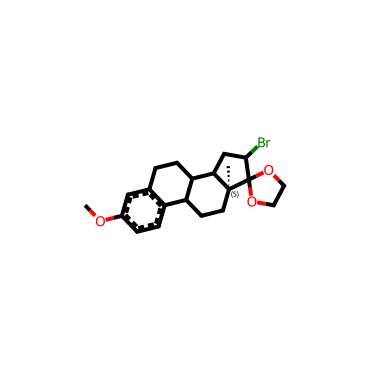 COc1ccc2c(c1)CCC1C2CC[C@@]2(C)C1CC(Br)C21OCCO1